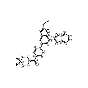 CCc1cc2cc(-c3ccc(C(=O)N4CCC(F)(F)CC4)cn3)cc(-c3cc4ccccc4o3)c2o1